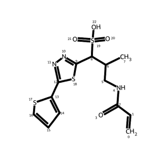 C=CC(=O)NCC(C)C(c1nnc(-c2cccs2)s1)S(=O)(=O)O